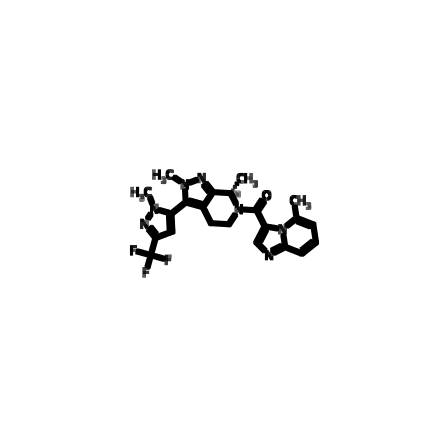 Cc1cccc2ncc(C(=O)N3CCc4c(nn(C)c4-c4cc(C(F)(F)F)nn4C)[C@@H]3C)n12